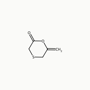 C=C1CSCC(=O)O1